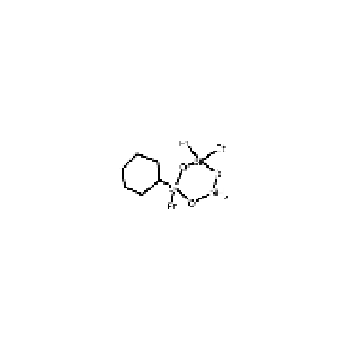 CC[Si]1(CC)O[SiH2]O[Si](CC)(C2CCCCC2)O1